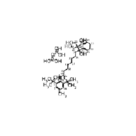 Cc1cc(C(C)(C)C)c(CCCCCCCCCC(O)(c2ccccc2)C(CO)(CO)CO)c(C(C)(C)C)c1.OP(O)OP(O)O